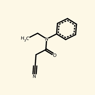 CCN(C(=O)CC#N)c1ccccc1